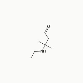 CCNC(C)(C)CC=O